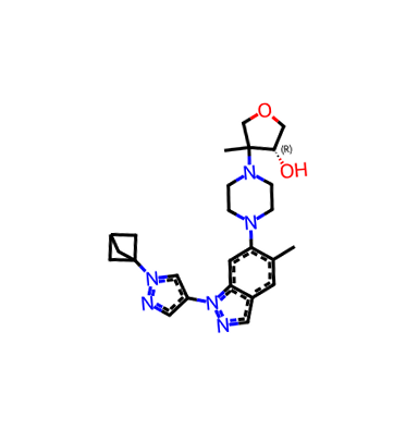 Cc1cc2cnn(-c3cnn(C45CC(C4)C5)c3)c2cc1N1CCN(C2(C)COC[C@@H]2O)CC1